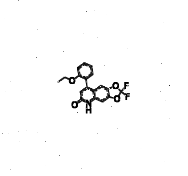 CCOc1ccccc1-c1cc(=O)[nH]c2cc3c(cc12)OC(F)(F)O3